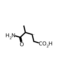 CC([CH]CC(=O)O)C(N)=O